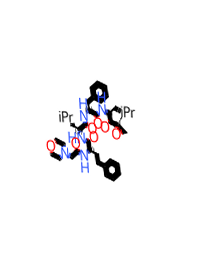 CC(C)C[C@H](NC(=O)[C@@H](CCc1ccccc1)NC(=O)CN1CCOCC1)C(=O)N[C@@H](Cc1ccccc1)C(=O)N[C@@H](CC(C)C)C(=O)[C@@]1(C)CO1